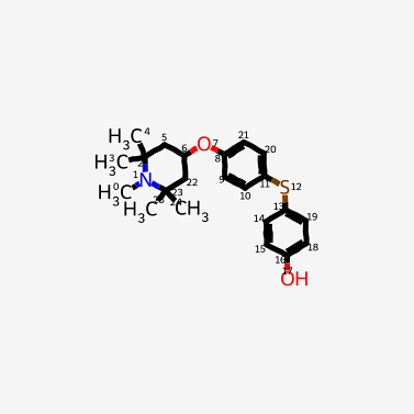 CN1C(C)(C)CC(Oc2ccc(Sc3ccc(O)cc3)cc2)CC1(C)C